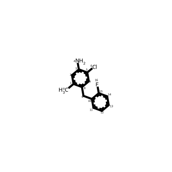 Cc1cc(N)c(Cl)cc1Cc1ccccc1F